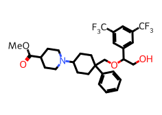 COC(=O)C1CCN(C2CCC(COC(CO)c3cc(C(F)(F)F)cc(C(F)(F)F)c3)(c3ccccc3)CC2)CC1